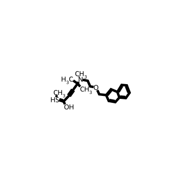 C[SH]=C(O)C#CC(C)(C)N(C)CCOCc1ccc2ccccc2c1